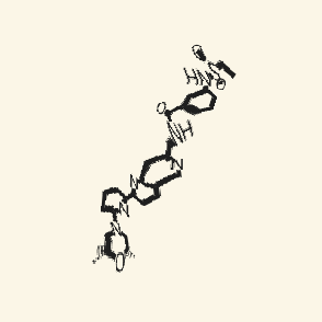 C=CS(=O)(=O)Nc1cccc(C(=O)NCc2cc3nc(-c4cccc(N5C[C@@H](C)O[C@@H](C)C5)n4)ccc3cn2)c1